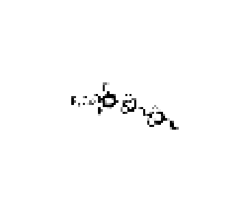 C/C=C/[C@H]1CO[C@H](CC[C@H]2CO[C@H](c3cc(F)c(OCC(F)(F)F)c(F)c3)OC2)OC1